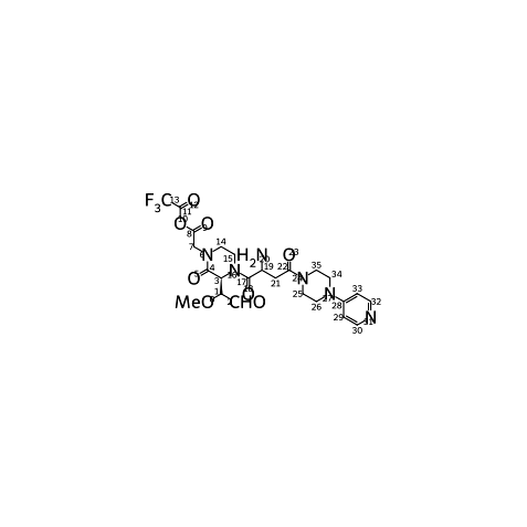 COC(C=O)[C@H]1C(=O)N(CC(=O)OC(=O)C(F)(F)F)CCN1C(=O)C(N)CC(=O)N1CCN(c2ccncc2)CC1